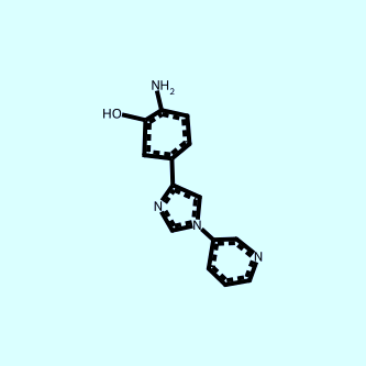 Nc1ccc(-c2cn(-c3cccnc3)cn2)cc1O